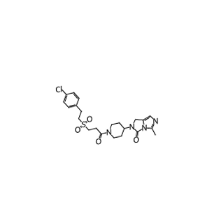 Cc1ncc2n1C(=O)N(C1CCN(C(=O)CCS(=O)(=O)CCc3ccc(Cl)cc3)CC1)C2